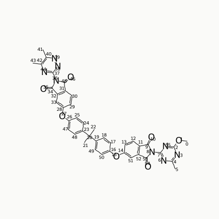 COc1nc(C)nc(N2C(=O)c3ccc(Oc4ccc(C(C)(C)c5ccc(Oc6ccc7c(c6)C(=O)N(c6nnc(C)c(C)n6)C7=O)cc5)cc4)cc3C2=O)n1